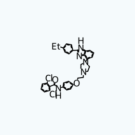 CCc1ccc(-c2nc3c(N4CCN(CCOc5ccc(NC(=O)c6c(Cl)cccc6Cl)cc5)CC4)cccc3[nH]2)cc1